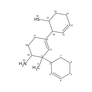 CC1(C2C=CCCC2)C=C(C2C=CCCC2S)CCC1N